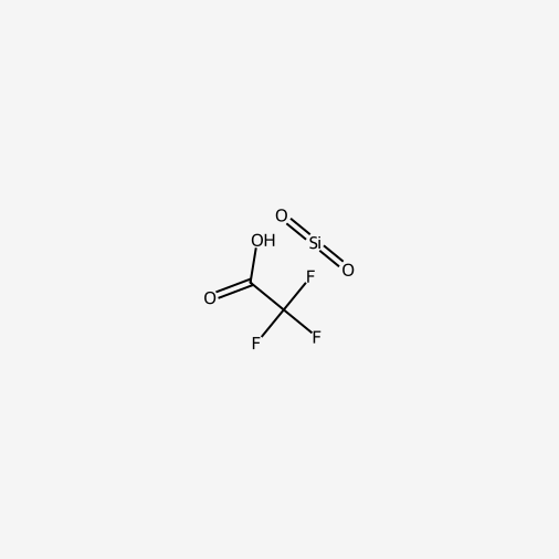 O=C(O)C(F)(F)F.O=[Si]=O